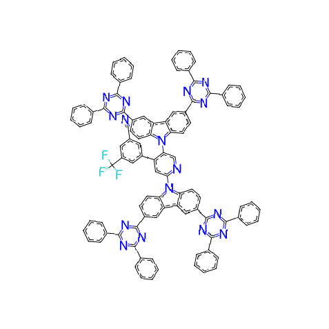 N#Cc1cc(-c2cc(-n3c4ccc(-c5nc(-c6ccccc6)nc(-c6ccccc6)n5)cc4c4cc(-c5nc(-c6ccccc6)nc(-c6ccccc6)n5)ccc43)ncc2-n2c3ccc(-c4nc(-c5ccccc5)nc(-c5ccccc5)n4)cc3c3cc(-c4nc(-c5ccccc5)nc(-c5ccccc5)n4)ccc32)cc(C(F)(F)F)c1